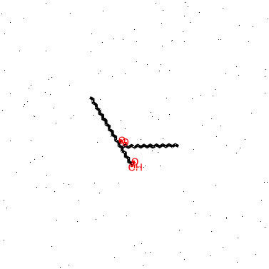 CCCCCCCCC=CCCCCCCCC(=O)CC(CCCCCC(=O)O)C(=O)CCCCCCCC=CCCCCCCCC